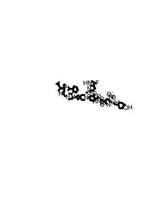 COc1cc(CN2CCN(C3CC4(CCN(c5ccc(C(=O)NS(=O)(=O)c6cnc(NCC7CCC(C)(O)CC7)c([N+](=O)[O-])c6)c(Oc6cc7c(F)c[nH]c7nc6OC)c5)CC4)C3)[C@H](c3ccccc3C(C)C)C2)ncc1C1CC1